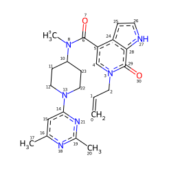 C=CCn1cc(C(=O)N(C)C2CCN(c3cc(C)nc(C)n3)CC2)c2cc[nH]c2c1=O